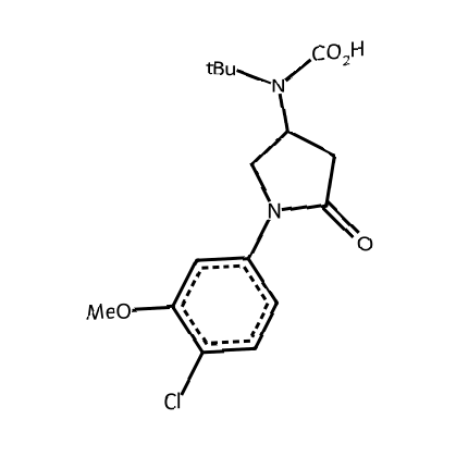 COc1cc(N2CC(N(C(=O)O)C(C)(C)C)CC2=O)ccc1Cl